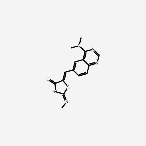 C/N=C1\NC(=O)/C(=C/c2ccc3ncnc(N(C)C)c3c2)S1